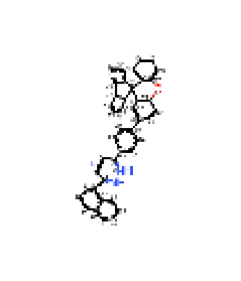 N=C(/C=C\C(=N)c1cccc2ccccc12)c1ccc(C2=CC3C(C=C2)OC2=CCCC=C2C32c3ccccc3C3C=CC=CC32)cc1